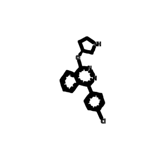 Clc1ccc(-c2nnc(O[C@H]3CCNC3)c3ccccc23)cc1